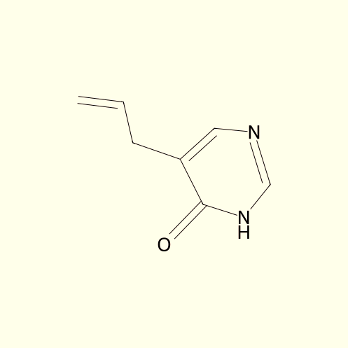 C=CCc1cnc[nH]c1=O